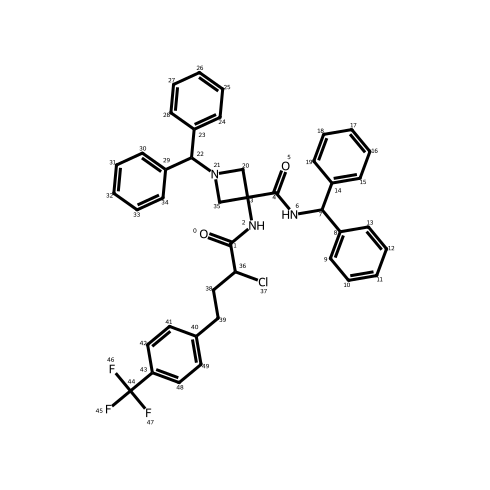 O=C(NC1(C(=O)NC(c2ccccc2)c2ccccc2)CN(C(c2ccccc2)c2ccccc2)C1)C(Cl)CCc1ccc(C(F)(F)F)cc1